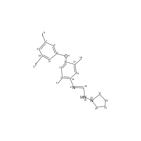 Cc1cc(Oc2cc(I)cc(I)c2)c(C)cc1/N=C/NN1CCCC1